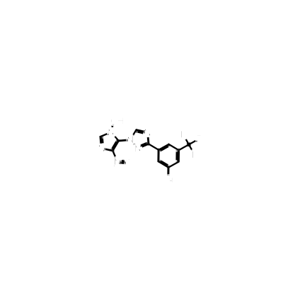 Cn1cnc([N+](=O)[O-])c1-n1cnc(-c2cc(Br)cc(C(F)(F)F)c2)n1